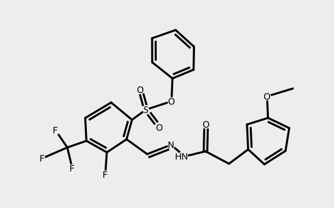 COc1cccc(CC(=O)N/N=C/c2c(S(=O)(=O)Oc3ccccc3)ccc(C(F)(F)F)c2F)c1